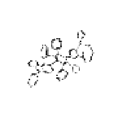 c1ccc(-c2c(-c3ccccc3)c(-c3ccc4c(c3)c3ccccc3n4-c3ccccc3)c(-c3ccccc3)c(-c3ccccc3)c2-c2ccc3c(c2)c2ccccc2n3-c2ccccc2)cc1